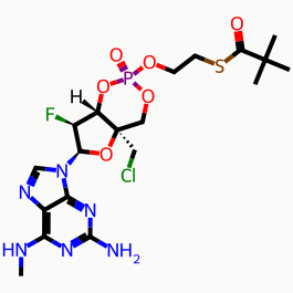 CNc1nc(N)nc2c1ncn2[C@@H]1O[C@]2(CCl)COP(=O)(OCCSC(=O)C(C)(C)C)O[C@H]2[C@@H]1F